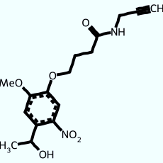 C#CCNC(=O)CCCOc1cc([N+](=O)[O-])c(C(C)O)cc1OC